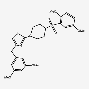 COc1cc(Cc2csc(N3CCC(S(=O)(=O)c4cc(OC)ccc4OC)CC3)n2)cc(OC)c1